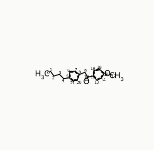 CCCCCc1ccc(CC(=O)c2ccc(OC)cc2)cc1